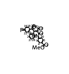 COC(=O)c1ccc(NC(=O)C(C(=O)C(C)C)C(C(=O)c2ccc(F)cc2)c2ccccc2)cc1